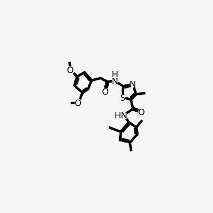 COc1cc(CC(=O)Nc2nc(C)c(C(=O)Nc3c(C)cc(C)cc3C)s2)cc(OC)c1